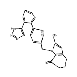 CCCc1nc2c(n1Cc1ccc(-c3ccccc3-c3nnn[nH]3)cc1)C(=O)CCC2